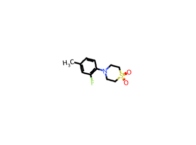 Cc1ccc(N2CCS(=O)(=O)CC2)c(F)c1